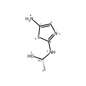 C[C@H](O)Nc1ncc(N)s1